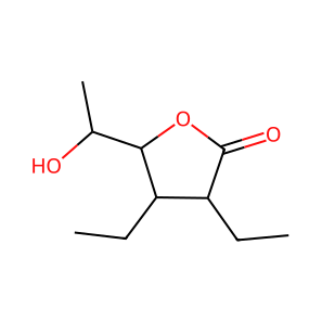 CCC1C(=O)OC(C(C)O)C1CC